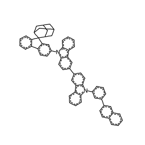 c1cc(-c2ccc3ccccc3c2)cc(-n2c3ccccc3c3cc(-c4ccc5c(c4)c4ccccc4n5-c4ccc5c(c4)C4(c6ccccc6-5)C5CC6CC(C5)CC4C6)ccc32)c1